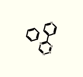 c1cc(-c2ncnnn2)ccn1.c1ccccc1